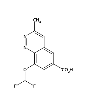 Cc1cc2cc(C(=O)O)cc(OC(F)F)c2nn1